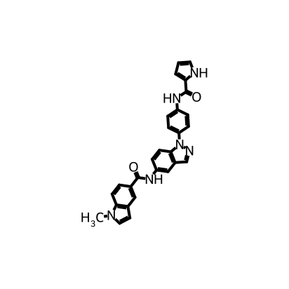 Cn1ccc2cc(C(=O)Nc3ccc4c(cnn4-c4ccc(NC(=O)c5ccc[nH]5)cc4)c3)ccc21